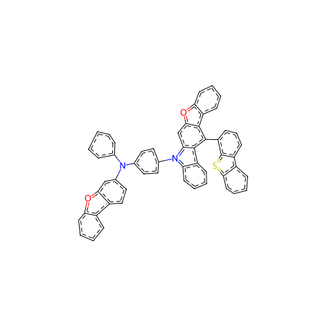 c1ccc(N(c2ccc(-n3c4ccccc4c4c(-c5cccc6c5sc5ccccc56)c5c(cc43)oc3ccccc35)cc2)c2ccc3c(c2)oc2ccccc23)cc1